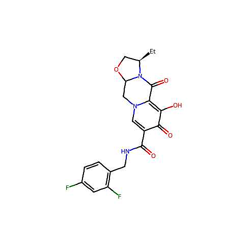 CC[C@@H]1COC2Cn3cc(C(=O)NCc4ccc(F)cc4F)c(=O)c(O)c3C(=O)N21